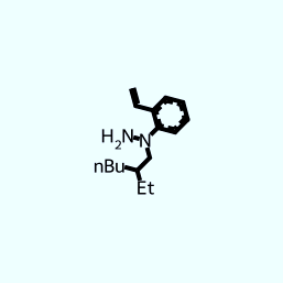 C=Cc1ccccc1N(N)CC(CC)CCCC